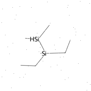 CC[Si](CC)[SiH](C)C